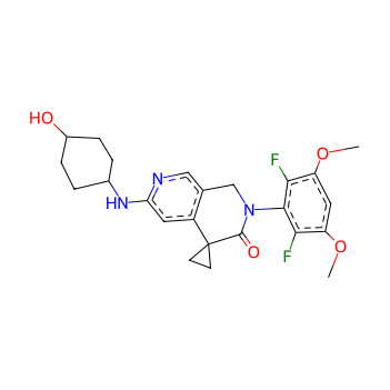 COc1cc(OC)c(F)c(N2Cc3cnc(NC4CCC(O)CC4)cc3C3(CC3)C2=O)c1F